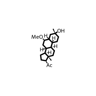 CO[C@@H]1C[C@@H]2[C@H](CC[C@]3(C)[C@@H](C(C)=O)CC[C@@H]23)[C@H]2CC[C@@](C)(O)C[C@H]21